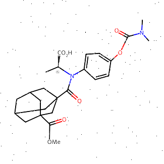 COC(=O)C12CC3CC(C1)CC(C(=O)N(c1ccc(OC(=O)N(C)C)cc1)[C@@H](C)C(=O)O)(C3)C2